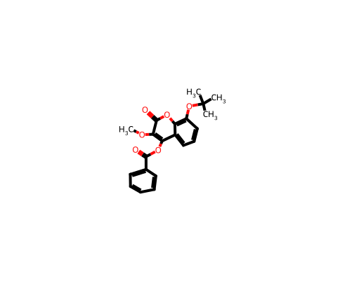 COc1c(OC(=O)c2ccccc2)c2cccc(OC(C)(C)C)c2oc1=O